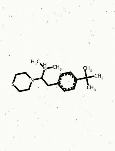 C[SiH](C)C(Cc1ccc(C(C)(C)C)cc1)N1CCSCC1